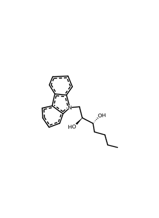 CCCC[C@@H](O)[C@@H](O)Cn1c2ccccc2c2ccccc21